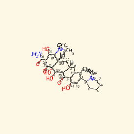 COc1c(C2CCCCN2C(C)C)cc(O)c2c1C[C@H]1C[C@H]3[C@H](N(C)C)C(O)=C(C(N)=O)C(=O)[C@@]3(O)C(O)=C1C2=O